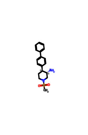 CS(=O)(=O)N1CC[C@@H](c2ccc(-c3ccccc3)cc2)[C@H](N)C1